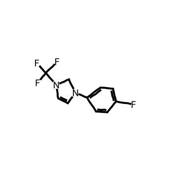 Fc1ccc(N2C=CN(C(F)(F)F)C2)cc1